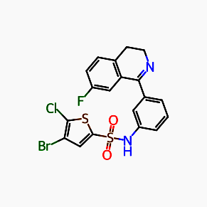 O=S(=O)(Nc1cccc(C2=NCCc3ccc(F)cc32)c1)c1cc(Br)c(Cl)s1